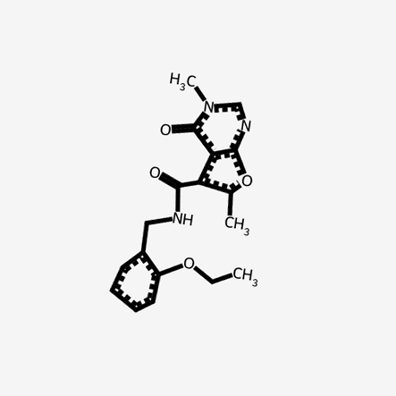 CCOc1ccccc1CNC(=O)c1c(C)oc2ncn(C)c(=O)c12